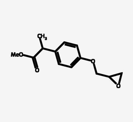 COC(=O)C(C)c1ccc(OCC2CO2)cc1